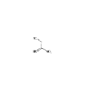 N#CCC(=N)[N+](=O)[O-]